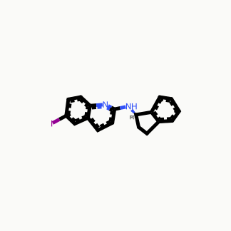 Ic1ccc2nc(N[C@@H]3CCc4ccccc43)ccc2c1